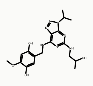 COc1cc(O)c(CNc2nc(NCC(C)O)nc3c2nnn3C(C)C)cc1O